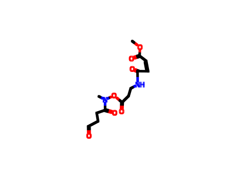 COC(=O)/C=C\C(=O)NCCC(=O)ON(C)C(=O)CCC=O